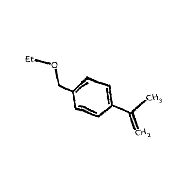 C=C(C)c1ccc(COCC)cc1